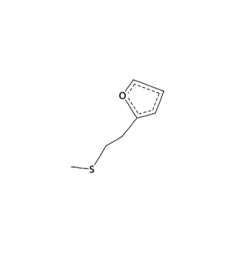 CSCCc1ccco1